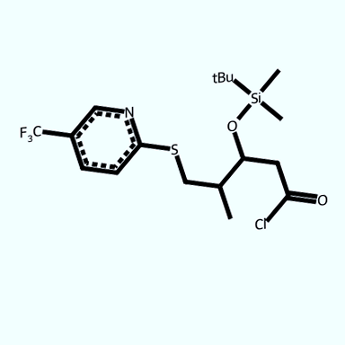 CC(CSc1ccc(C(F)(F)F)cn1)C(CC(=O)Cl)O[Si](C)(C)C(C)(C)C